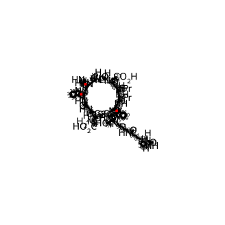 CC(C)C[C@@H]1NC(=O)[C@H](Cc2c[nH]cn2)NC(=O)[C@H](Cc2c[nH]c3ccccc23)NC(=O)[C@H](C)NC(=O)[C@@H](NC(=O)[C@@H](N)CC(=O)O)CSSC[C@@H](C(=O)N[C@H](C(=O)NCCOCCNC(=O)CCCC[C@@H]2SC[C@@H]3NC(=O)N[C@@H]32)[C@@H](C)O)NC(=O)[C@H](Cc2c[nH]c3ccccc23)NC(=O)[C@H](C(C)C)NC(=O)[C@H](CC(C)C)NC(=O)[C@H](CCC(=O)O)NC(=O)CNC1=O